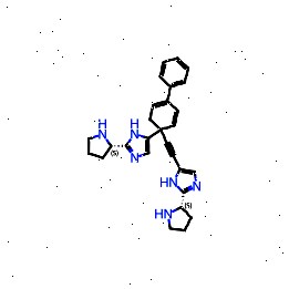 C(#CC1(c2cnc([C@@H]3CCCN3)[nH]2)C=CC(c2ccccc2)=CC1)c1cnc([C@@H]2CCCN2)[nH]1